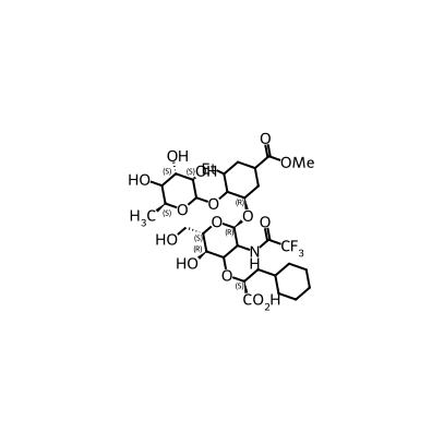 CCC1CC(C(=O)OC)C[C@@H](O[C@@H]2O[C@@H](CO)[C@H](O)C(O[C@@H](CC3CCCCC3)C(=O)O)C2NC(=O)C(F)(F)F)C1OC1O[C@@H](C)C(O)[C@H](O)[C@@H]1O